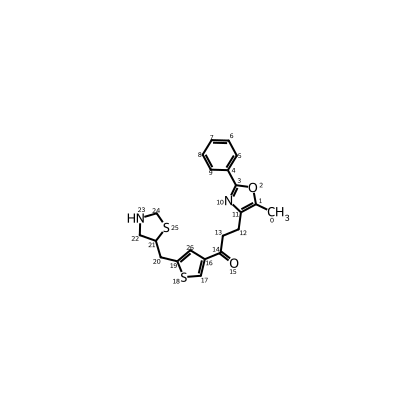 Cc1oc(-c2ccccc2)nc1CCC(=O)c1csc(CC2CNCS2)c1